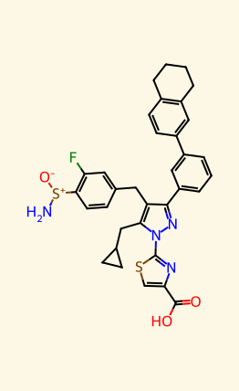 N[S+]([O-])c1ccc(Cc2c(-c3cccc(-c4ccc5c(c4)CCCC5)c3)nn(-c3nc(C(=O)O)cs3)c2CC2CC2)cc1F